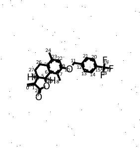 C=C1C(=O)O[C@H]2c3c(C)c(OCc4ccc(C(F)(F)F)cc4)cc(C)c3CC[C@@H]12